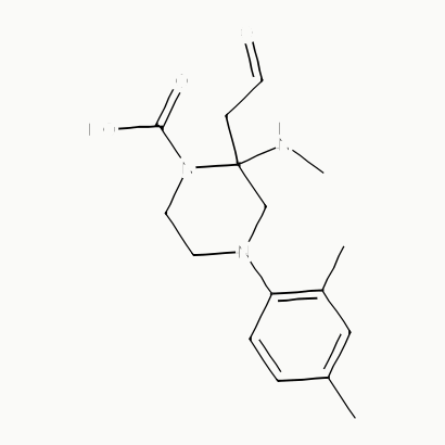 CNC1(CC=O)CN(c2ccc(C)cc2C)CCN1C(=O)O